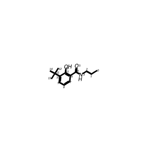 CCCNC(=O)c1cccc(C(C)(C)C)c1O